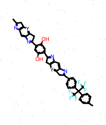 CC1=NC2=[C](C1)[Y]=[C]1CC(c3cc(O)c(C4=NC5=[C](C4)[Y]=[C]4CC(c6ccc(C(c7ccc(C)cc7)(C(F)(F)F)C(F)(F)F)cc6)=NC4=C5)cc3O)=NC1=C2